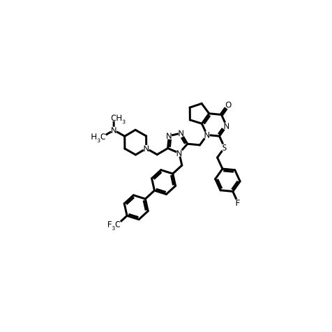 CN(C)C1CCN(Cc2nnc(Cn3c(SCc4ccc(F)cc4)nc(=O)c4c3CCC4)n2Cc2ccc(-c3ccc(C(F)(F)F)cc3)cc2)CC1